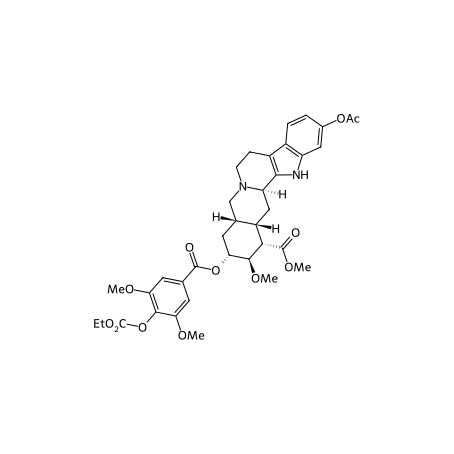 CCOC(=O)Oc1c(OC)cc(C(=O)O[C@@H]2C[C@@H]3CN4CCc5c([nH]c6cc(OC(C)=O)ccc56)[C@H]4C[C@@H]3[C@H](C(=O)OC)[C@H]2OC)cc1OC